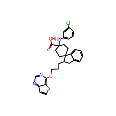 O=C(O)C1(Nc2cccc(Cl)c2)CCC2(CC1)c1ccccc1CC2CCCOc1ncnc2ccsc12